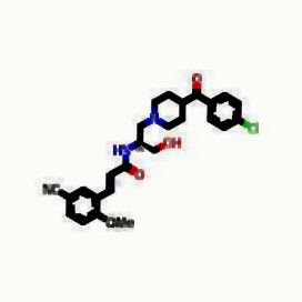 COc1ccc(C#N)cc1/C=C/C(=O)N[C@H](CO)CN1CCC(C(=O)c2ccc(Cl)cc2)CC1